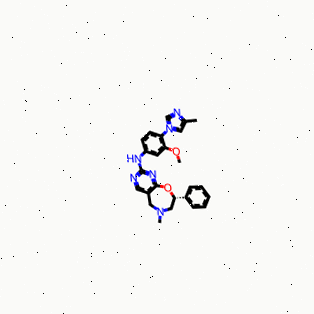 COc1cc(Nc2ncc3c(n2)O[C@H](c2ccccc2)CN(C)C3)ccc1-n1cnc(C)c1